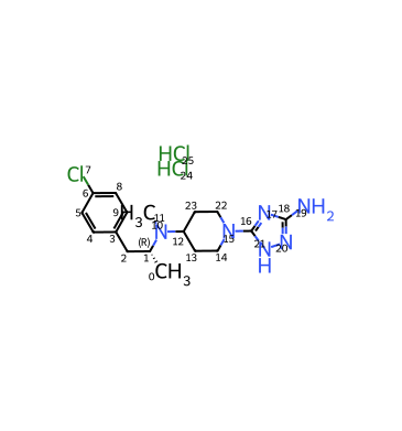 C[C@H](Cc1ccc(Cl)cc1)N(C)C1CCN(c2nc(N)n[nH]2)CC1.Cl.Cl